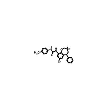 Cc1ccc(NC(=O)Nc2cc(Br)cc3c2OCC(F)(F)CC3c2ccccc2)cc1